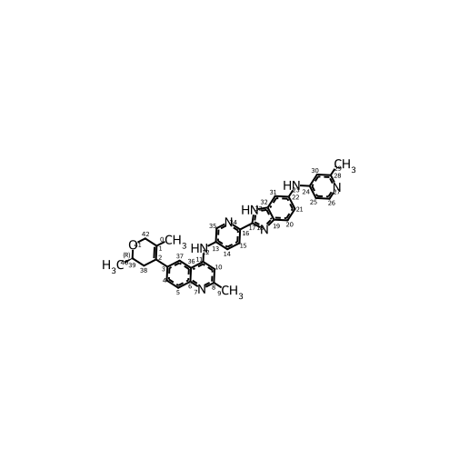 CC1=C(c2ccc3nc(C)cc(Nc4ccc(-c5nc6ccc(Nc7ccnc(C)c7)cc6[nH]5)nc4)c3c2)C[C@@H](C)OC1